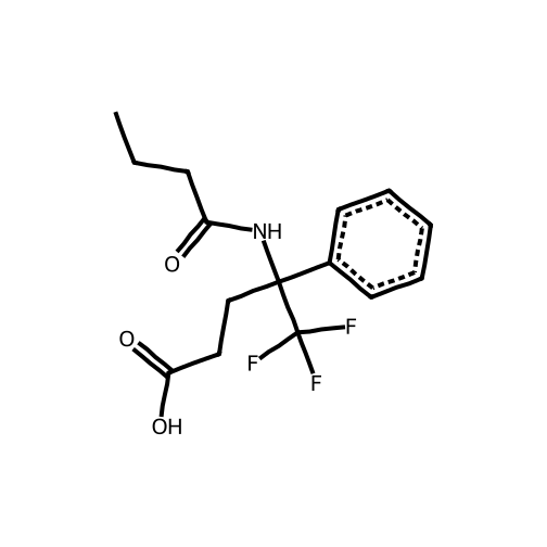 CCCC(=O)NC(CCC(=O)O)(c1ccccc1)C(F)(F)F